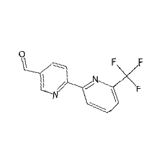 O=Cc1ccc(-c2cccc(C(F)(F)F)n2)nc1